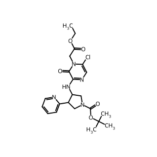 CCOC(=O)Cn1c(Cl)cnc(NC2CN(C(=O)OC(C)(C)C)CC2c2ccccn2)c1=O